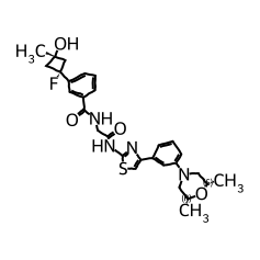 C[C@@H]1CN(c2cccc(-c3csc(NC(=O)CNC(=O)c4cccc([C@]5(F)C[C@@](C)(O)C5)c4)n3)c2)C[C@H](C)O1